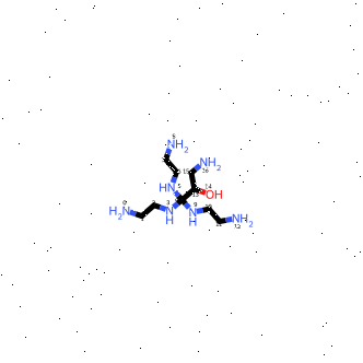 NCCNC(NCCN)(NCCN)C(O)CN